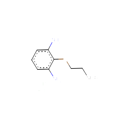 CC(=O)NCCSc1c(N)cccc1N.Cl.Cl